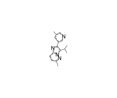 Cc1cncc(-c2nc3ccc(C)nn3c2C(C)C)c1